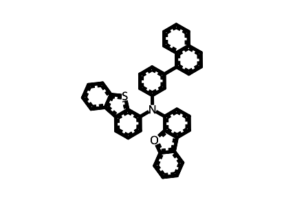 c1cc(-c2cccc3ccccc23)cc(N(c2cccc3c2oc2ccccc23)c2cccc3c2sc2ccccc23)c1